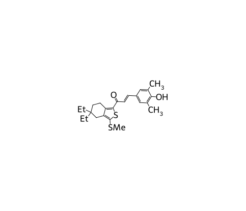 CCC1(CC)CCc2c(C(=O)/C=C/c3cc(C)c(O)c(C)c3)sc(SC)c2C1